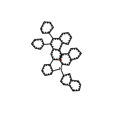 c1ccc(-c2c(-c3ccccc3)c3cc(-c4ccccc4N(c4ccc5ccccc5c4)c4ccc5ccccc5c4)ccc3c3ccccc23)cc1